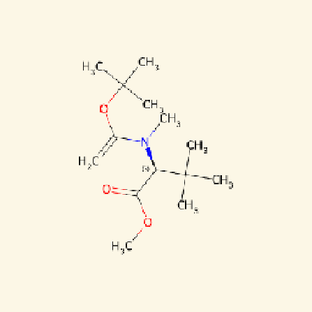 C=C(OC(C)(C)C)N(C)[C@H](C(=O)OC)C(C)(C)C